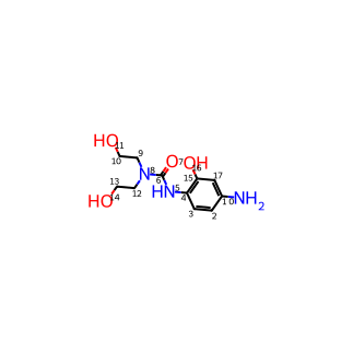 Nc1ccc(NC(=O)N(CCO)CCO)c(O)c1